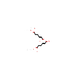 CCCCCCCCOC(C=CCCC(OCCCCC)OCCCCC)OC(C=CCCC(OCCCCC)OCCCCC)OCCCCCCCC